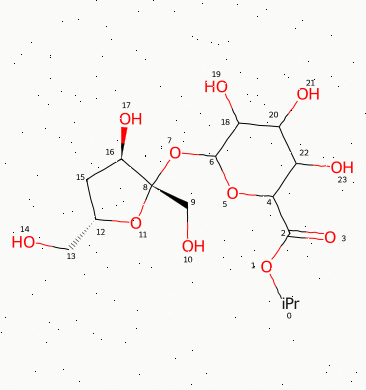 CC(C)OC(=O)C1OC(O[C@]2(CO)O[C@H](CO)C[C@H]2O)C(O)C(O)C1O